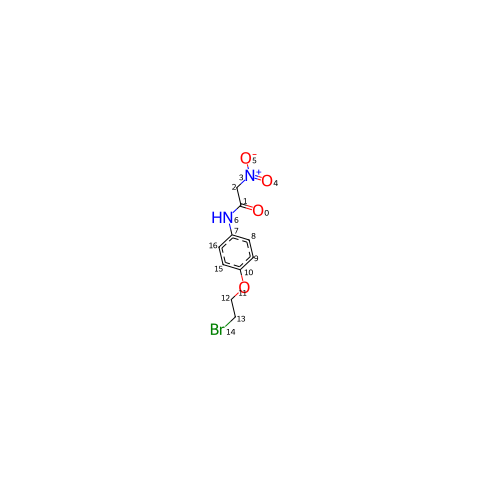 O=C(C[N+](=O)[O-])Nc1ccc(OCCBr)cc1